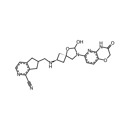 N#Cc1nccc2c1CC(CN[C@H]1C[C@]3(CN(c4ccc5c(n4)NC(=O)CO5)C(O)O3)C1)C2